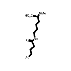 CNC(CCCCNC(=O)CCCC(C)=O)C(=O)O